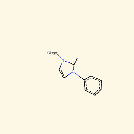 CCCCCN1C=CN(c2ccccc2)C1C